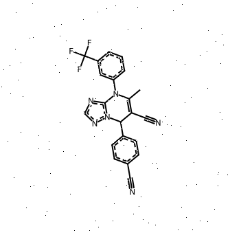 CC1=C(C#N)C(c2ccc(C#N)cc2)n2ncnc2N1c1cccc(C(F)(F)F)c1